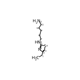 CCc1csc(NCCCCCN)n1